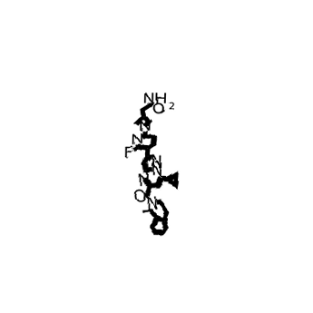 C[C@@H]1c2ccccc2CCN1C(=O)c1cc(C2CC2)n2nc(-c3ccc(N4CC(CC(N)=O)C4)nc3F)cc2n1